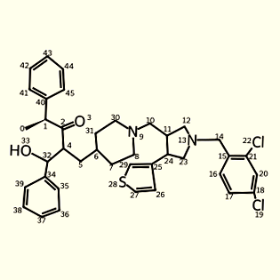 C[C@H](C(=O)C(CC1CCN(CC2CN(Cc3ccc(Cl)cc3Cl)CC2c2ccsc2)CC1)C(O)c1ccccc1)c1ccccc1